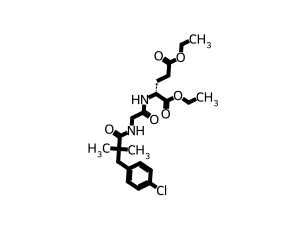 CCOC(=O)CC[C@@H](NC(=O)CNC(=O)C(C)(C)Cc1ccc(Cl)cc1)C(=O)OCC